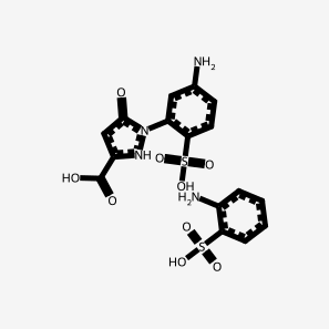 Nc1ccc(S(=O)(=O)O)c(-n2[nH]c(C(=O)O)cc2=O)c1.Nc1ccccc1S(=O)(=O)O